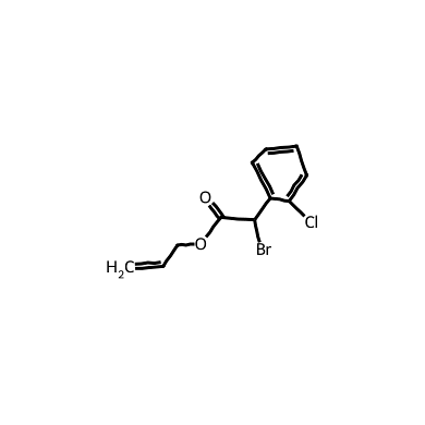 C=CCOC(=O)C(Br)c1ccccc1Cl